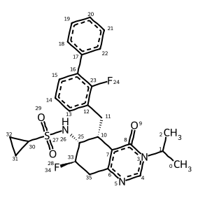 CC(C)n1cnc2c(c1=O)[C@@H](Cc1cccc(-c3ccccc3)c1F)[C@@H](NS(=O)(=O)C1CC1)[C@H](F)C2